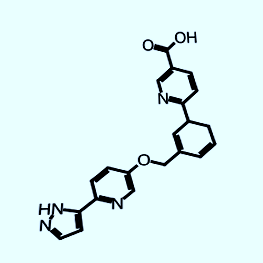 O=C(O)c1ccc(C2C=C(COc3ccc(-c4ccn[nH]4)nc3)C=CC2)nc1